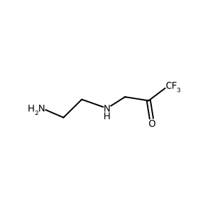 NCCNCC(=O)C(F)(F)F